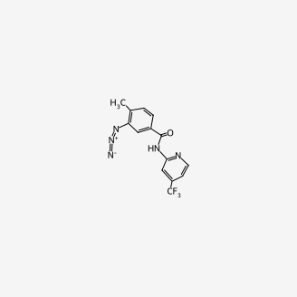 Cc1ccc(C(=O)Nc2cc(C(F)(F)F)ccn2)cc1N=[N+]=[N-]